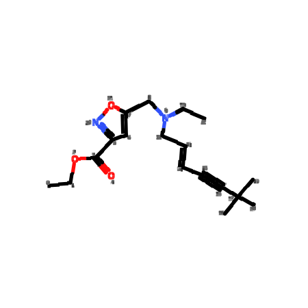 CCOC(=O)c1cc(CN(CC)C/C=C/C#CC(C)(C)C)on1